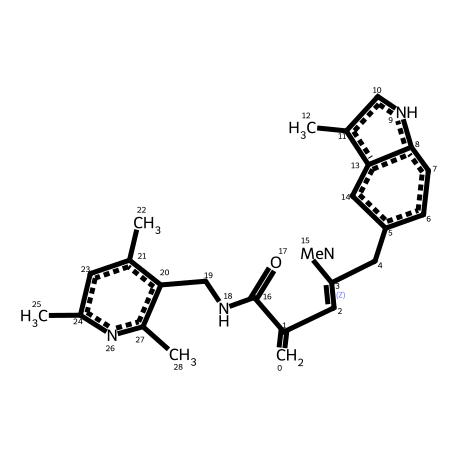 C=C(/C=C(/Cc1ccc2[nH]cc(C)c2c1)NC)C(=O)NCc1c(C)cc(C)nc1C